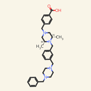 C[C@@H]1CN(Cc2ccc(C(=O)O)cc2)C[C@H](C)N1Cc1cccc(CN2CCN(Cc3ccccc3)CC2)c1